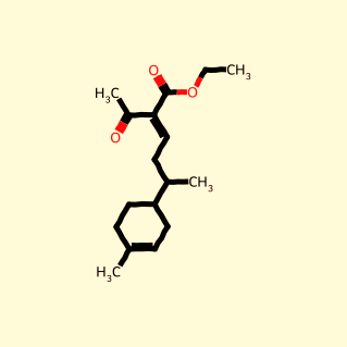 CCOC(=O)/C(=C/CC(C)C1CC=C(C)CC1)C(C)=O